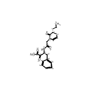 CCC[C@@H]1SC=CN(CC(=O)N[C@@H](Cc2ccccc2)C(=O)C(=O)O)C1=O